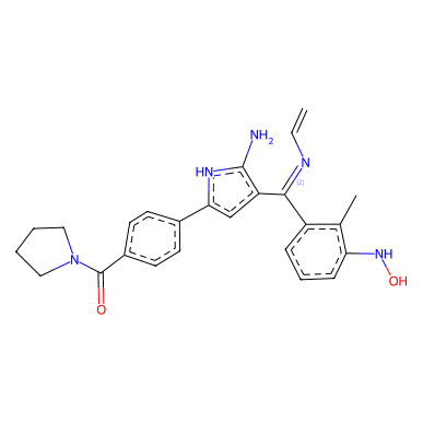 C=C/N=C(\c1cc(-c2ccc(C(=O)N3CCCC3)cc2)[nH]c1N)c1cccc(NO)c1C